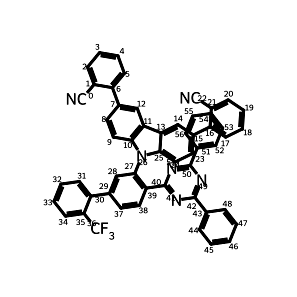 N#Cc1ccccc1-c1ccc2c(c1)c1cc(-c3ccccc3C#N)ccc1n2-c1cc(-c2ccccc2C(F)(F)F)ccc1-c1nc(-c2ccccc2)nc(-c2ccccc2)n1